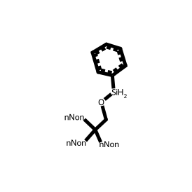 CCCCCCCCCC(CCCCCCCCC)(CCCCCCCCC)CO[SiH2]c1ccccc1